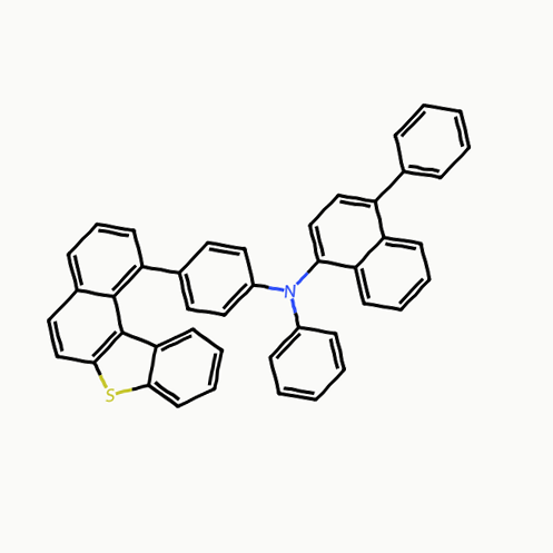 c1ccc(-c2ccc(N(c3ccccc3)c3ccc(-c4cccc5ccc6sc7ccccc7c6c45)cc3)c3ccccc23)cc1